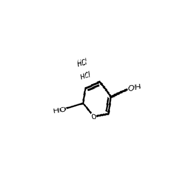 Cl.Cl.OC1=COC(O)C=C1